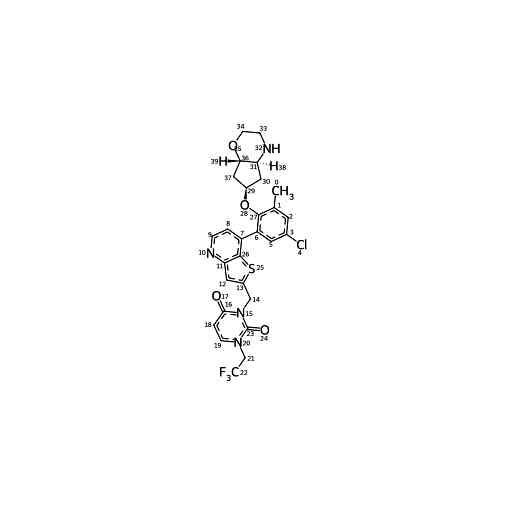 Cc1cc(Cl)cc(-c2ccnc3cc(Cn4c(=O)ccn(CC(F)(F)F)c4=O)sc23)c1O[C@@H]1C[C@@H]2NCCO[C@H]2C1